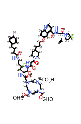 C#C[C@H]1CC(F)(F)CN1C(=O)CNC(=O)c1ccnc2ccc(OCCCC3CCN(C(=O)CC(=O)NC(=O)[C@H](CC(F)CCNC(=O)CCCc4ccc(I)cc4)NC(=O)CN4CCN(COC=O)CCN(COC=O)CCN(CC(=O)O)CC4)CC3)cc12